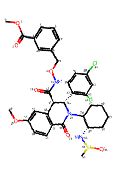 COC(=O)c1cccc(CONC(=O)[C@@H]2c3cc(OC)ccc3C(=O)N(C3CCCC[C@@H]3N[S+](C)[O-])[C@H]2c2ccc(Cl)cc2Cl)c1